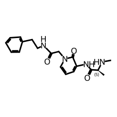 CN[C@@H](C)C(=O)Nc1cccn(CC(=O)NCCc2ccccc2)c1=O